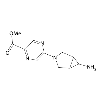 COC(=O)c1cnc(N2CC3C(N)C3C2)cn1